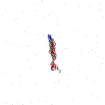 C=CC(=O)OCCCCOc1ccc(C(=O)Oc2ccc(OC(=O)c3ccc(C#N)cc3)cc2)cc1